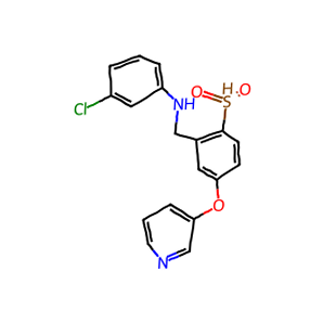 O=[SH](=O)c1ccc(Oc2cccnc2)cc1CNc1cccc(Cl)c1